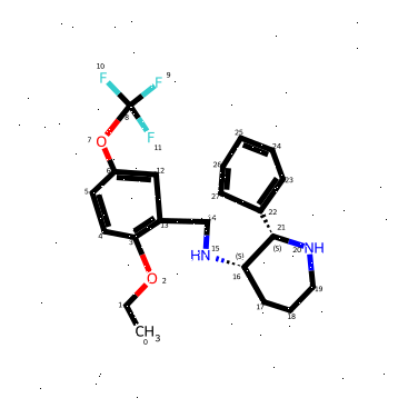 CCOc1ccc(OC(F)(F)F)cc1CN[C@H]1CCCN[C@H]1c1ccccc1